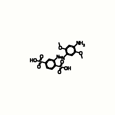 COc1cc(N=Nc2cc(S(=O)(=O)O)ccc2S(=O)(=O)O)c(OC)cc1N